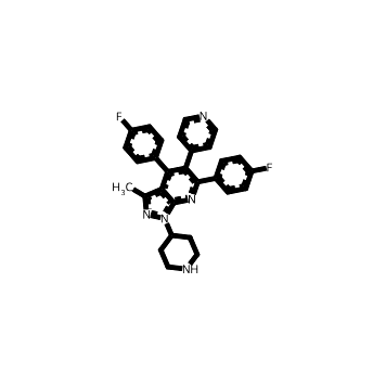 Cc1nn(C2CCNCC2)c2nc(-c3ccc(F)cc3)c(-c3ccncc3)c(-c3ccc(F)cc3)c12